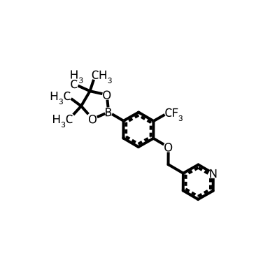 CC1(C)OB(c2ccc(OCc3cccnc3)c(C(F)(F)F)c2)OC1(C)C